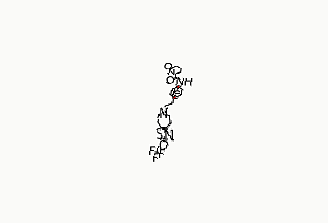 CN1C(=O)CCC=C1C(=O)NC12CCC(CCN3CCc4nc(OCC(F)(F)F)sc4CC3)(CC1)CC2